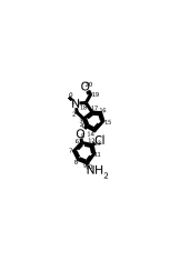 CN1Cc2c(Oc3ccc(N)cc3Cl)cccc2C1C=O